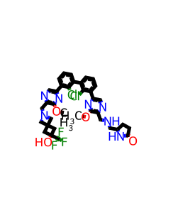 COc1nc(-c2cccc(-c3cccc(-c4cnc(CN5CC6(C5)CC(O)(C(F)(F)F)C6)c(OC)n4)c3Cl)c2Cl)cnc1CNCC1CCC(=O)N1